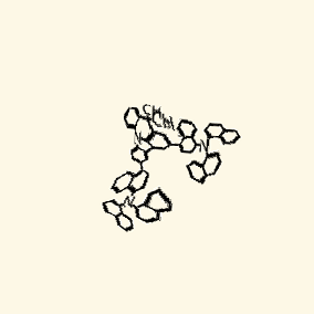 CC1(C)c2ccccc2-n2c3ccc(-c4ccc(N(c5cccc6ccccc56)c5cccc6ccccc56)c5c4CCC=C5)cc3c3cc(C4=CCC(N(c5cccc6ccccc56)c5cccc6ccccc56)c5ccccc54)cc1c32